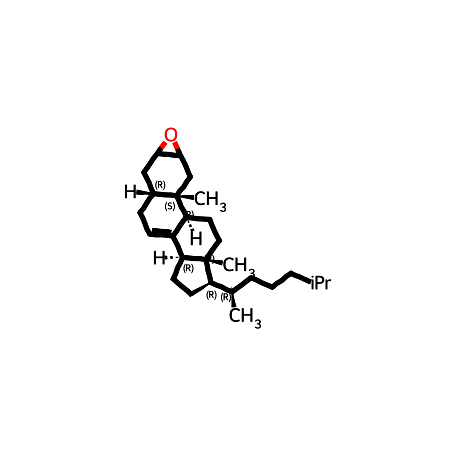 CC(C)CCC[C@@H](C)[C@H]1CC[C@H]2C3=CC[C@@H]4CC5OC5C[C@]4(C)[C@H]3CC[C@]12C